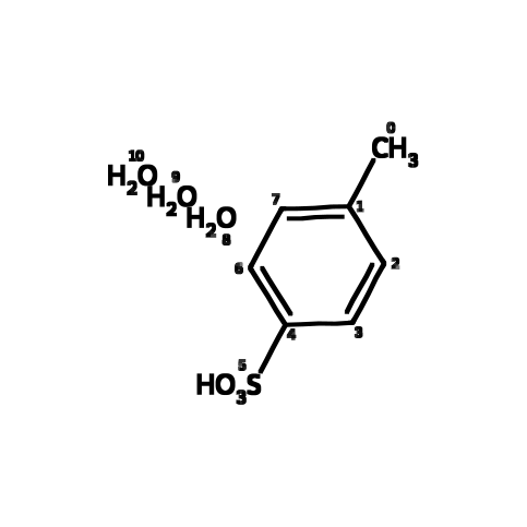 Cc1ccc(S(=O)(=O)O)cc1.O.O.O